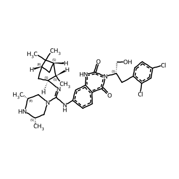 C[C@@H]1[C@@H](N=C(Nc2ccc3c(=O)n([C@H](CO)Cc4ccc(Cl)cc4Cl)c(=O)[nH]c3c2)N2C[C@@H](C)N[C@@H](C)C2)C[C@H]2C[C@@H]1C2(C)C